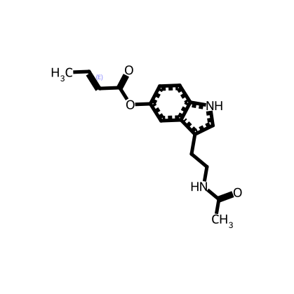 C/C=C/C(=O)Oc1ccc2[nH]cc(CCNC(C)=O)c2c1